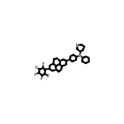 Fc1c(F)c(F)c(-c2cc3ccc4cc(-c5ccc(N(c6ccccc6)c6cccnc6)cc5)cc5ccc(c2)c3c45)c(F)c1F